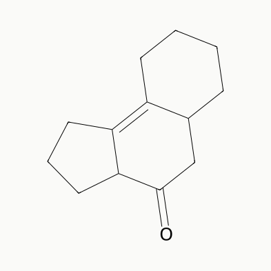 O=C1CC2CCCCC2=C2CCCC12